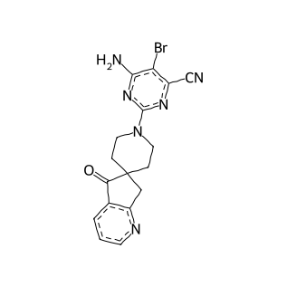 N#Cc1nc(N2CCC3(CC2)Cc2ncccc2C3=O)nc(N)c1Br